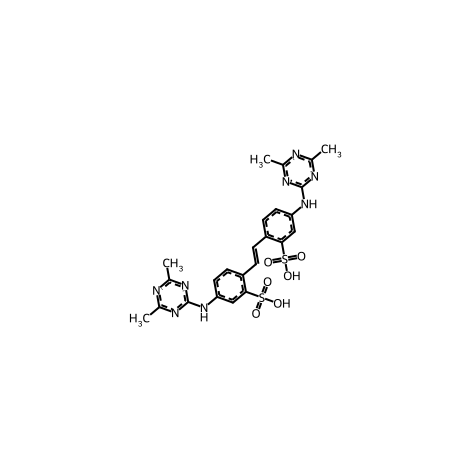 Cc1nc(C)nc(Nc2ccc(/C=C/c3ccc(Nc4nc(C)nc(C)n4)cc3S(=O)(=O)O)c(S(=O)(=O)O)c2)n1